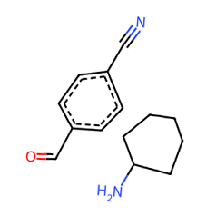 N#Cc1ccc(C=O)cc1.NC1CCCCC1